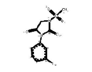 CS(=O)(=O)N1CC(=O)N(c2cccc(I)c2)C1=O